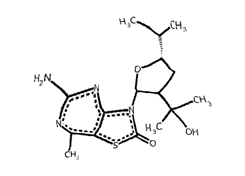 Cc1nc(N)nc2c1sc(=O)n2C1O[C@H](C(C)C)CC1C(C)(C)O